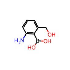 Nc1cccc(CO)c1B(O)O